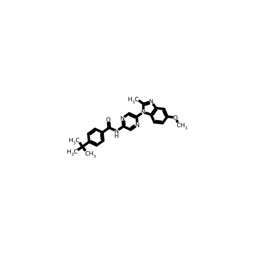 COc1ccc2c(c1)nc(C)n2-c1cnc(NC(=O)c2ccc(C(C)(C)C)cc2)cn1